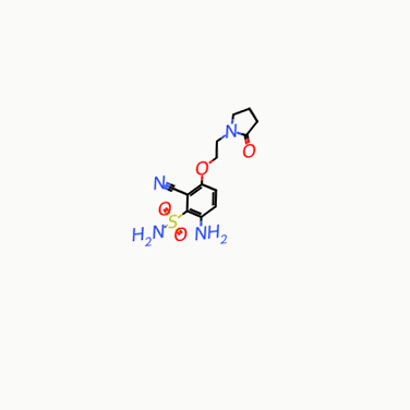 N#Cc1c(OCCN2CCCC2=O)ccc(N)c1S(N)(=O)=O